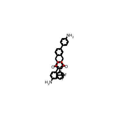 Nc1ccc(-c2ccc3c(c2)C2c4ccc(-c5ccc(N)cc5C(F)(F)F)cc4C3C3C(=O)N(c4ccccc4)C(=O)C23)cc1